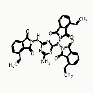 C=Cc1cccc2c1C(=O)N(Nc1nc(N)nc(N(N3C(=O)c4cccc(C=C)c4C3=O)N3C(=O)c4cccc(C=C)c4C3=O)n1)C2=O